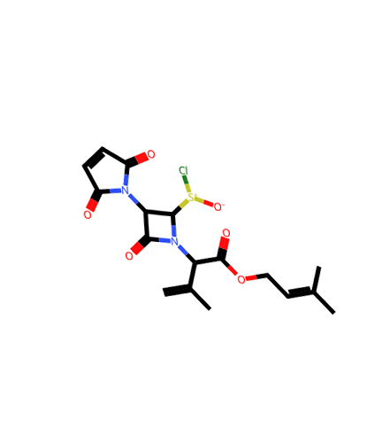 C=C(C)C(C(=O)OCC=C(C)C)N1C(=O)C(N2C(=O)C=CC2=O)C1[S+]([O-])Cl